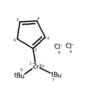 C[C](C)(C)[Zr+2]([C]1=CC=CC1)[C](C)(C)C.[Cl-].[Cl-]